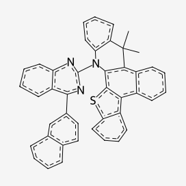 CC1(C)c2ccccc2N(c2nc(-c3ccc4ccccc4c3)c3ccccc3n2)c2c1c1ccccc1c1c2sc2ccccc21